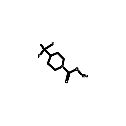 CC(C)(C)OC(=O)N1CCC(C(C)(F)F)CC1